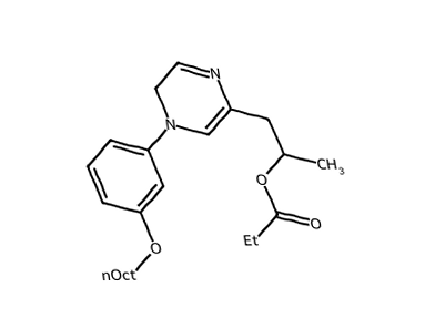 CCCCCCCCOc1cccc(N2C=C(CC(C)OC(=O)CC)N=CC2)c1